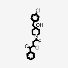 O=C(c1ccccc1)C(Cl)CC(F)N1CCC(O)(Cc2ccc(Cl)cc2)CC1